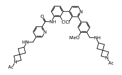 COc1cc(-c2nccc(-c3cccc(NC(=O)c4ccc(CNC5CC6(C5)CN(C(C)=O)C6)cn4)c3Cl)c2Cl)ccc1CNC1CC2(C1)CN(C(C)=O)C2